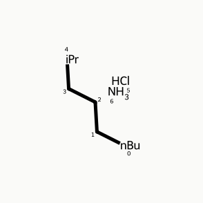 CCCCCCCC(C)C.Cl.N